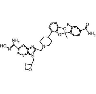 CC1(c2ccc(C(N)=O)cc2F)Oc2cccc(C3CCN(Cc4nc5cc(C(N)=NO)cnc5n4CC4CCO4)CC3)c2O1